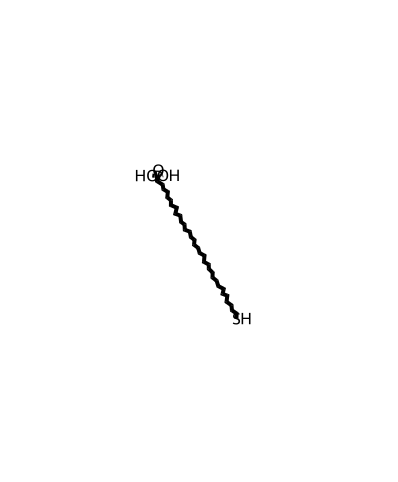 O=P(O)(O)CCCCCCCCCCCCCCCCCCCCCCCCCCCCCCCCCCS